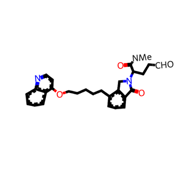 CNC(=O)C(CCC=O)N1Cc2c(CCCCCOc3ccnc4ccccc34)cccc2C1=O